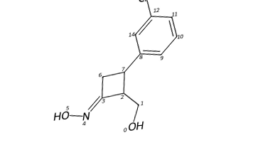 OCC1C(=NO)CC1c1cccc(Cl)c1